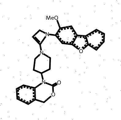 COc1cc2c(cc1N1CC=C1N1CCC(N3C(=O)OCc4ccccc43)CC1)oc1ccccc12